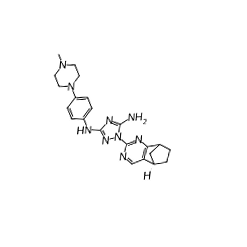 CN1CCN(c2ccc(Nc3nc(N)n(-c4ncc5c(n4)C4CC[C@@H]5C4)n3)cc2)CC1